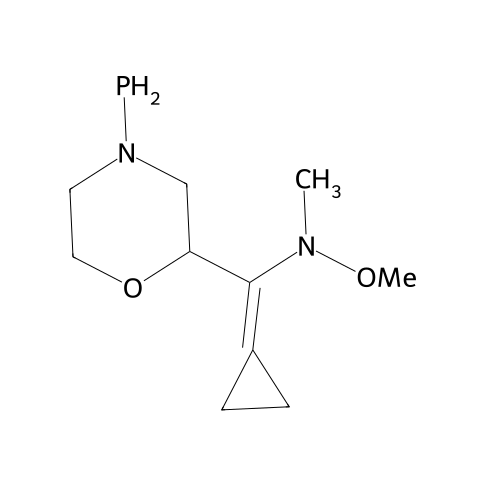 CON(C)C(=C1CC1)C1CN(P)CCO1